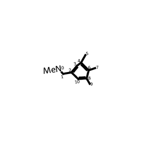 CNCc1cc(C)c(C)c(C)c1